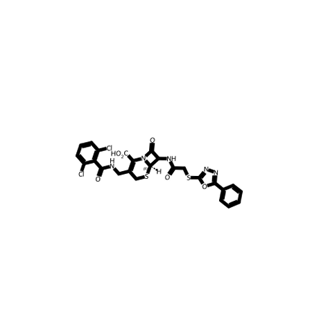 O=C(CSc1nnc(-c2ccccc2)o1)NC1C(=O)N2C(C(=O)O)=C(CNC(=O)c3c(Cl)cccc3Cl)CS[C@H]12